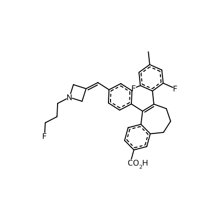 Cc1cc(F)c(C2=C(c3ccc(C=C4CN(CCCF)C4)cc3)c3ccc(C(=O)O)cc3CCC2)c(F)c1